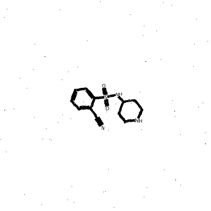 N#Cc1ccccc1S(=O)(=O)NC1CCNCC1